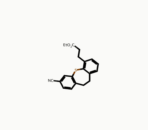 CCOC(=O)CCc1cccc2c1Sc1cc(C#N)ccc1CC2